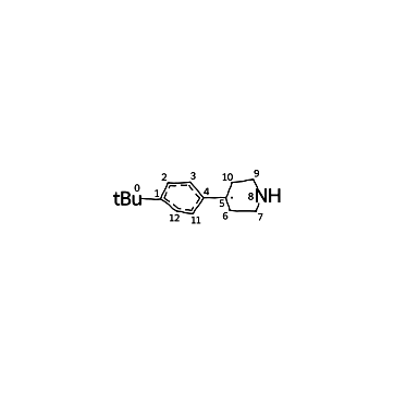 CC(C)(C)c1ccc([C]2CCNCC2)cc1